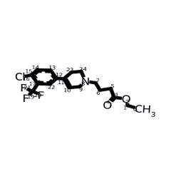 CCOC(=O)CCCN1CC=C(c2ccc(Cl)c(C(F)(F)F)c2)CC1